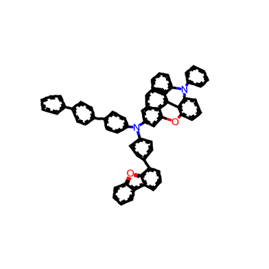 c1ccc(-c2ccc(-c3ccc(N(c4ccc(-c5cccc6c5oc5ccccc56)cc4)c4cc5c6c(cccc6c4)-c4c(cccc4N(c4ccccc4)c4ccccc4)O5)cc3)cc2)cc1